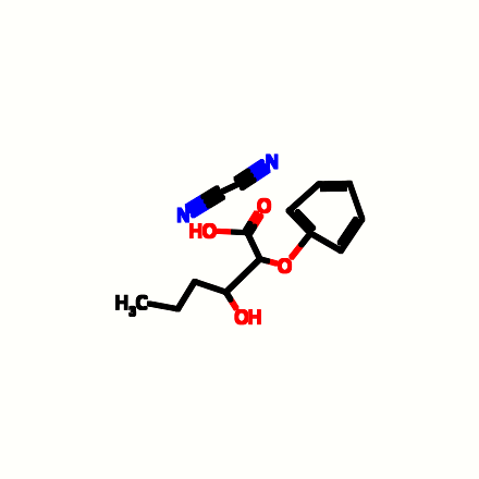 CCCC(O)C(Oc1ccccc1)C(=O)O.N#CC#N